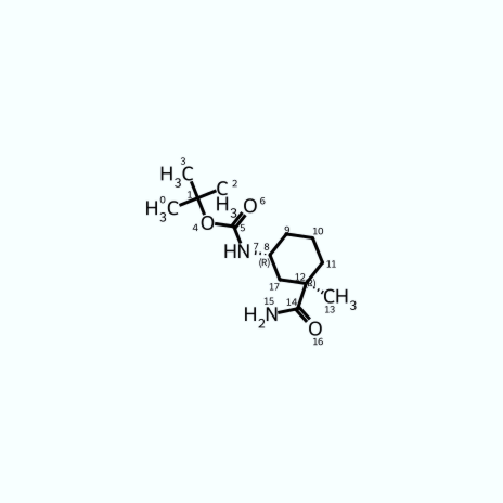 CC(C)(C)OC(=O)N[C@@H]1CCC[C@@](C)(C(N)=O)C1